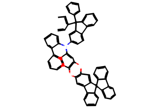 C=C/C(=C\C)C1(c2ccccc2)c2ccccc2-c2ccc(N(c3ccc4c(c3)Oc3cc5c(cc3O4)-c3ccccc3C53c4ccccc4-c4ccccc43)c3ccccc3-c3ccccc3)cc21